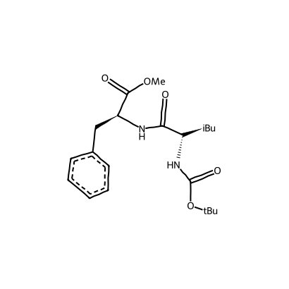 CC[C@H](C)[C@H](NC(=O)OC(C)(C)C)C(=O)N[C@@H](Cc1ccccc1)C(=O)OC